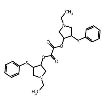 CCN1CC(OC(=O)C(=O)OC2CN(CC)CC2Sc2ccccc2)C(Sc2ccccc2)C1